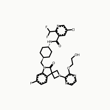 O=C(N[C@H]1CC[C@H](CN2C(=O)C3(CN(c4nccnc4OCCO)C3)c3ccc(F)cc32)CC1)c1cc(Cl)cnc1C(F)F